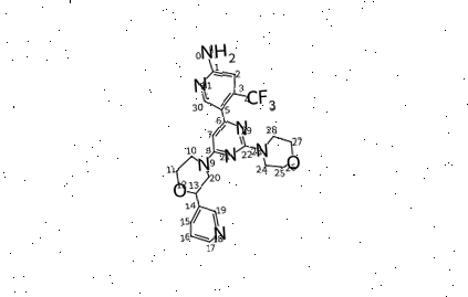 Nc1cc(C(F)(F)F)c(-c2cc(N3CCOC(c4cccnc4)C3)nc(N3CCOCC3)n2)cn1